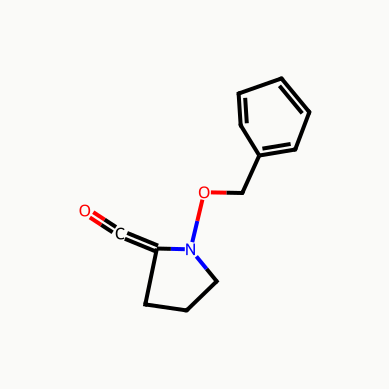 O=C=C1CCCN1OCc1ccccc1